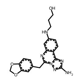 Nc1nc2c3ccc(NCCCO)cc3nc(Cc3ccc4c(c3)OCO4)n2n1